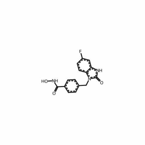 O=C(NO)c1ccc(Cn2c(=O)[nH]c3cc(F)ccc32)cc1